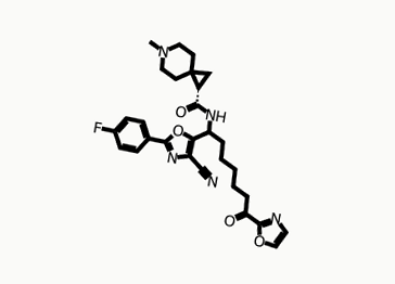 CN1CCC2(CC1)C[C@@H]2C(=O)NC(CCCCCC(=O)c1ncco1)c1oc(-c2ccc(F)cc2)nc1C#N